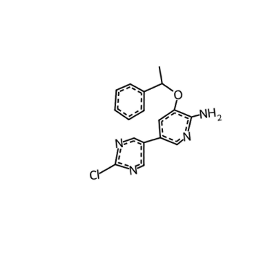 CC(Oc1cc(-c2cnc(Cl)nc2)cnc1N)c1ccccc1